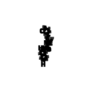 C=C(Cl)/C=C\C(C)=C\Cn1nc(C(=O)NC2=CC3=C(CC2)CNCC3)cc1C